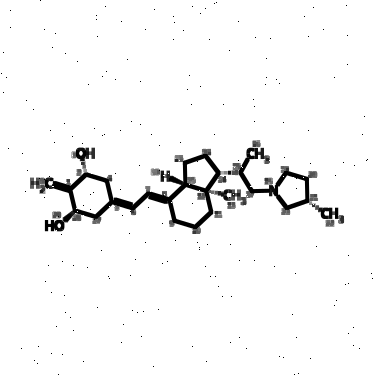 C=C1[C@H](O)CC(=C/C=C2\CCC[C@]3(C)[C@@H](C(C)CN4CC[C@H](C)C4)CC[C@@H]23)C[C@H]1O